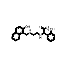 O=C(O)C(NCCNCc1c(O)ccc2ccccc12)c1ccccc1O